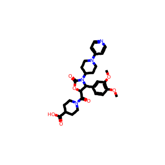 COc1ccc(C2C(C(=O)N3CCC(C(=O)O)CC3)OC(=O)N2C2CCN(c3ccncc3)CC2)cc1OC